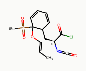 CC=COC1(S(=O)(=O)C(C)(C)C)C=CC=CC1C[C@H](N=C=O)C(=O)Cl